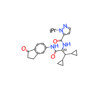 CC(C)n1nccc1C(=O)N[C@H](C(=O)Nc1ccc2c(c1)CCC2=O)C(C1CC1)C1CC1